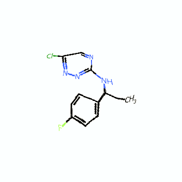 CC(Nc1ncc(Cl)nn1)c1ccc(F)cc1